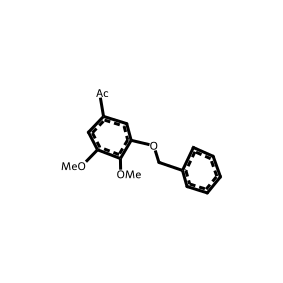 COc1cc(C(C)=O)cc(OCc2ccccc2)c1OC